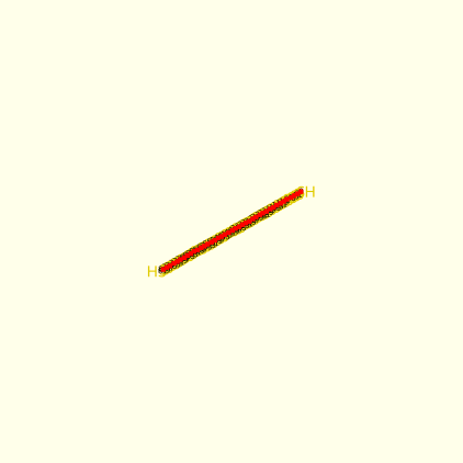 SSSSSSSSSSSSSSSSSSSSSSSSSSSSSSSSSSSSSSSSSSSSSSSSSSSSSSSSSSSSSSSSSSSSSSSSSSSSSSSSSS